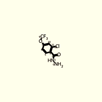 NNC(=O)c1ccc(OC(F)(F)F)cc1Cl